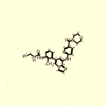 Cc1c(NC(=O)NCC(C)C)cccc1-c1cc(Nc2ccc(C(=O)N3CCOCC3)cn2)c2nccn2c1